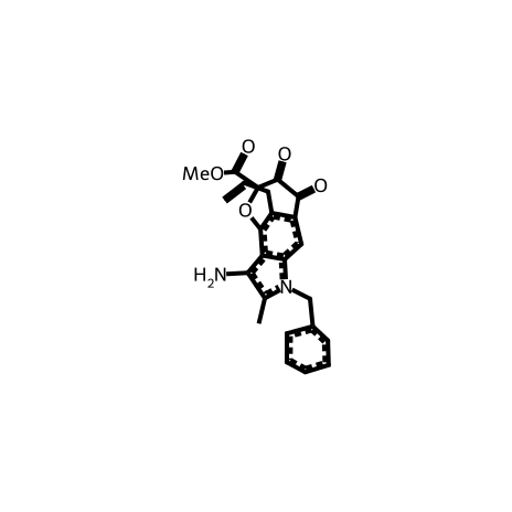 C=CCc1c2cc3c(c(N)c(C)n3Cc3ccccc3)c1OC(C(=O)OC)C(=O)C2=O